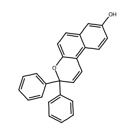 Oc1ccc2c3c(ccc2c1)OC(c1ccccc1)(c1ccccc1)C=C3